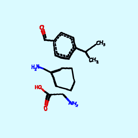 CC(C)c1ccc(C=O)cc1.NC1CCCCC1.NCC(=O)O